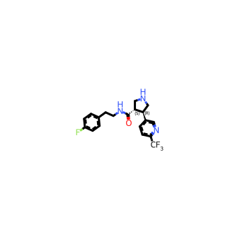 O=C(NCCc1ccc(F)cc1)[C@@H]1CNC[C@H]1c1ccc(C(F)(F)F)nc1